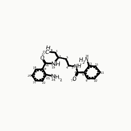 CCC(CCNC(=O)c1ccccc1N)NC(=O)c1ccccc1N